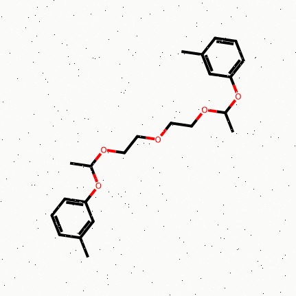 Cc1cccc(OC(C)OCCOCCOC(C)Oc2cccc(C)c2)c1